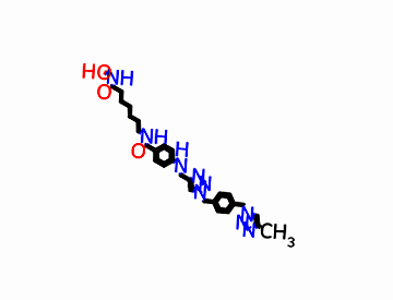 Cc1cn(Cc2ccc(Cn3cc(CNc4ccc(C(=O)NCCCCCCC(=O)NO)cc4)nn3)cc2)nn1